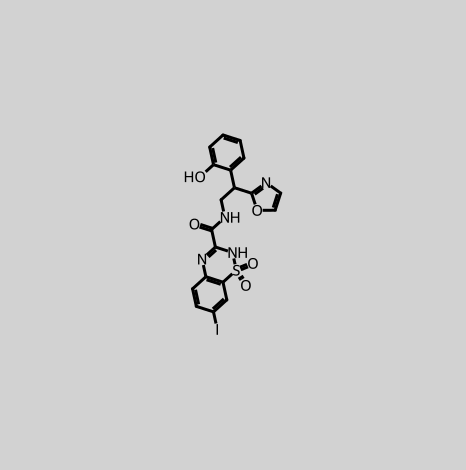 O=C(NCC(c1ncco1)c1ccccc1O)C1=Nc2ccc(I)cc2S(=O)(=O)N1